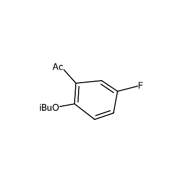 CC(=O)c1cc(F)ccc1OCC(C)C